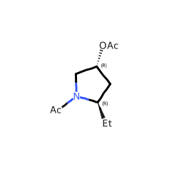 CC[C@@H]1C[C@@H](OC(C)=O)CN1C(C)=O